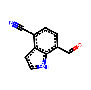 N#Cc1ccc(C=O)c2[nH]ccc12